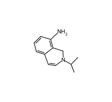 CC(C)N1C=Cc2cccc(N)c2C1